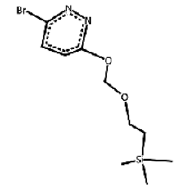 C[Si](C)(C)CCOCOc1ccc(Br)nn1